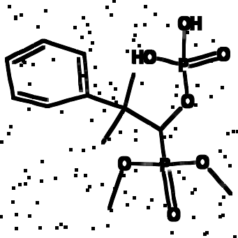 COP(=O)(OC)C(OP(=O)(O)O)C(C)(C)c1ccccc1